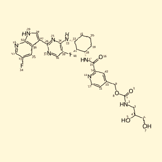 O=C(NCC(O)CO)OCc1ccnc(C(=O)N[C@H]2CCC[C@@H](Nc3nc(-c4c[nH]c5ncc(F)cc45)ncc3F)C2)c1